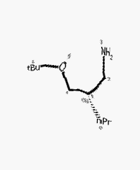 CCC[C@@H](CN)COC(C)(C)C